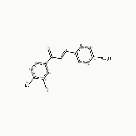 CCc1ccc(C(=O)C=Cc2ccc(C(=O)O)cc2)cc1CC